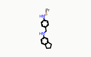 CC(C)SNc1ccc(CNc2ccc3c(c2)CCC3)cc1